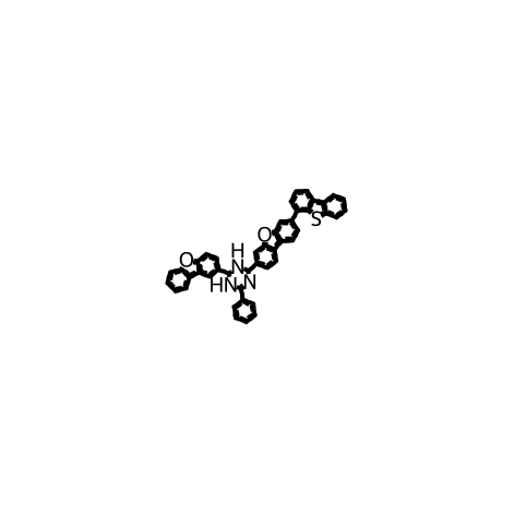 c1ccc(C2=NC(c3ccc4c(c3)oc3cc(-c5cccc6c5sc5ccccc56)ccc34)NC(c3ccc4oc5ccccc5c4c3)N2)cc1